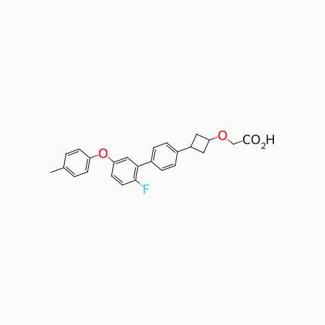 Cc1ccc(Oc2ccc(F)c(-c3ccc(C4CC(OCC(=O)O)C4)cc3)c2)cc1